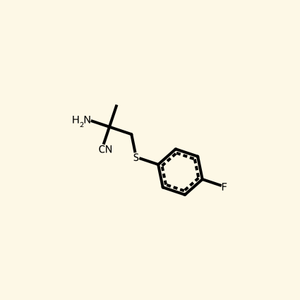 CC(N)(C#N)CSc1ccc(F)cc1